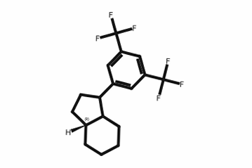 FC(F)(F)c1cc(C2CC[C@H]3CCCCC23)cc(C(F)(F)F)c1